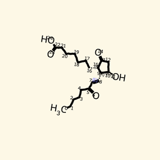 CCCCCC(=O)/C=C/[C@H]1[C@H](O)CC(=O)[C@H]1CCCCCCC(=O)O